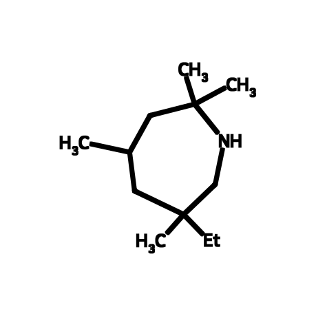 CCC1(C)CNC(C)(C)CC(C)C1